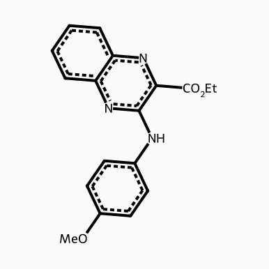 CCOC(=O)c1nc2ccccc2nc1Nc1ccc(OC)cc1